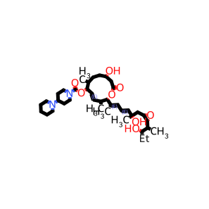 CCC(O)C(C)C1OC1CC(C)(O)/C=C/C=C(\C)C1OC(=O)CC(O)CCC(C)C(OC(=O)N2CCC(N3CCCCC3)CC2)/C=C/C1C